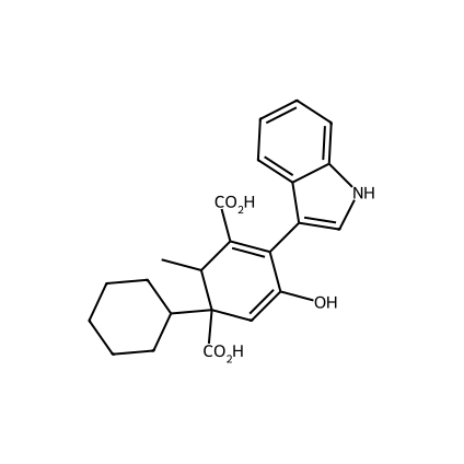 CC1C(C(=O)O)=C(c2c[nH]c3ccccc23)C(O)=CC1(C(=O)O)C1CCCCC1